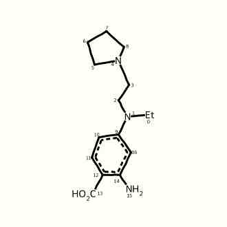 CCN(CCN1CCCC1)c1ccc(C(=O)O)c(N)c1